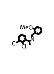 COc1ccccc1C=NC(C)c1cccc(Cl)c1Cl